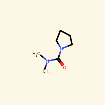 CN(C)C(=O)N1CCCC1